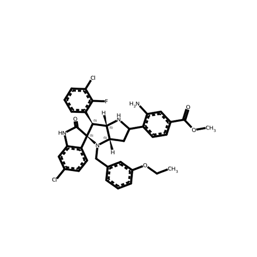 CCOc1cccc(CN2[C@H]3CC(c4ccc(C(=O)OC)cc4N)N[C@H]3[C@H](c3cccc(Cl)c3F)[C@]23C(=O)Nc2cc(Cl)ccc23)c1